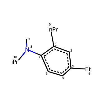 CCCc1cc(CC)ccc1N(C)C(C)C